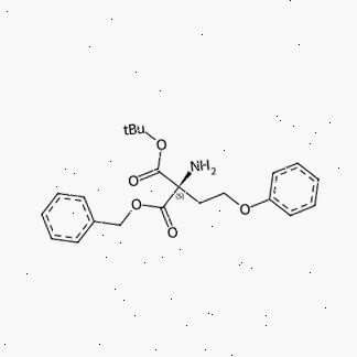 CC(C)(C)OC(=O)[C@](N)(CCOc1ccccc1)C(=O)OCc1ccccc1